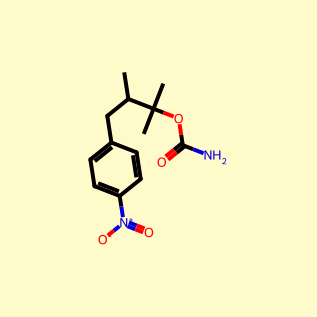 CC(Cc1ccc([N+](=O)[O-])cc1)C(C)(C)OC(N)=O